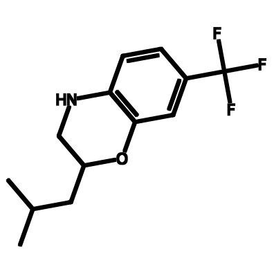 CC(C)CC1CNc2ccc(C(F)(F)F)cc2O1